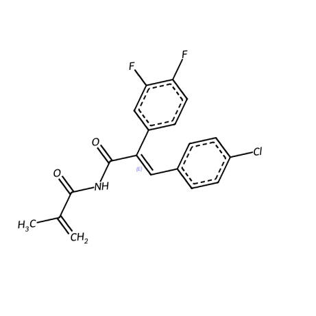 C=C(C)C(=O)NC(=O)/C(=C/c1ccc(Cl)cc1)c1ccc(F)c(F)c1